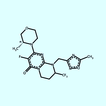 Cc1nc(CN2c3nc(N4CCOC[C@H]4C)c(F)c(=O)n3CCC2C(F)(F)F)no1